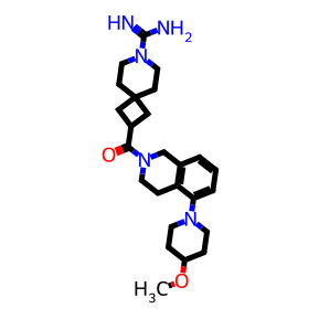 COC1CCN(c2cccc3c2CCN(C(=O)C2CC4(CCN(C(=N)N)CC4)C2)C3)CC1